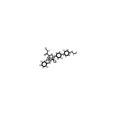 CCCc1ccc(-c2ccc(N(CC(N)C(C)CC)C(=O)NCc3ccccc3)cc2)cc1